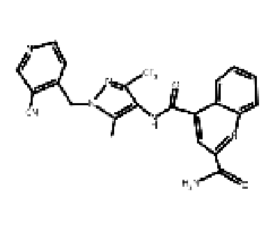 Cc1c(NC(=O)c2cc(C(N)=O)nc3ccccc23)c(C(F)(F)F)nn1Cc1ccncc1C#N